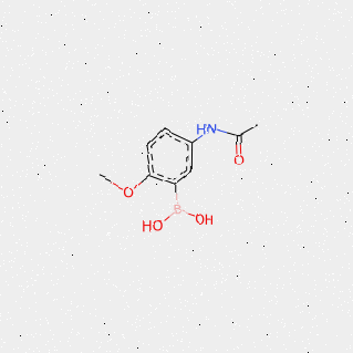 COc1ccc(NC(C)=O)cc1B(O)O